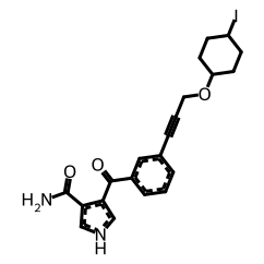 NC(=O)c1c[nH]cc1C(=O)c1cccc(C#CCOC2CCC(I)CC2)c1